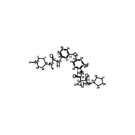 CN1CCC(N(C)C(=O)Nc2cc(Oc3ccc(NC(=O)C4(C(=O)NC5CCCC5)CC4)c(F)c3)ccn2)CC1